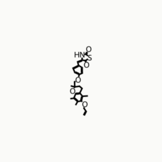 C=CCOc1c(C)c(C)c2c(c1C)CCC(C)(COc1ccc(C=C3NC(=O)SC3=O)cc1)O2